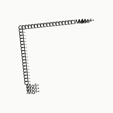 [Cl-].[Cl-].[Cl-].[Cl-].[Cl-].[Cl-].[Cl-].[Cl-].[Cl-].[Cl-].[Cl-].[Cl-].[Cl-].[Cl-].[Cl-].[Cl-].[Cl-].[Cl-].[Cl-].[Cl-].[Cl-].[Cl-].[Cl-].[Cl-].[Cl-].[Cl-].[Cl-].[Cl-].[Cl-].[Cl-].[Cl-].[Cl-].[Cl-].[Cl-].[Cl-].[Cl-].[Mo+6].[Mo+6].[Mo+6].[Mo+6].[Mo+6].[Mo+6]